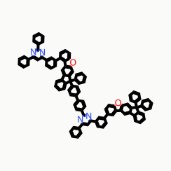 c1ccc(-c2cc(-c3cccc(-c4ccc5oc6cc7c(cc6c5c4)-c4ccccc4C7(c4ccccc4)c4ccccc4)c3)nc(-c3ccc(-c4ccc(C5(c6ccccc6)c6ccccc6-c6cc7c(cc65)oc5cccc(-c6cccc(-c8cc(-c9ccccc9)nc(-c9ccccc9)n8)c6)c57)cc4)cc3)n2)cc1